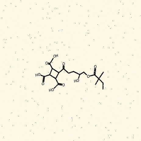 CCC(C)(C)C(=O)OCC(O)CCC(=O)C1C(C(=O)O)C(C(=O)O)C1C(=O)O